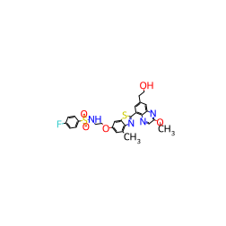 COc1cnc2c(-c3nc4c(C)cc(OCCNS(=O)(=O)c5ccc(F)cc5)cc4s3)cc(CCO)cc2n1